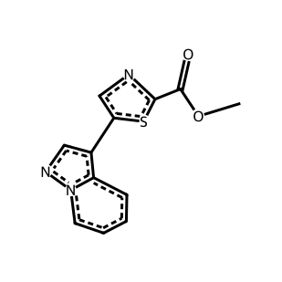 COC(=O)c1ncc(-c2cnn3ccccc23)s1